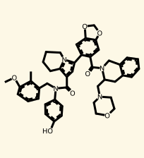 COc1cccc(CN(C(=O)c2cc(-c3cc4c(cc3C(=O)N3Cc5ccccc5CC3CN3CCOCC3)OCO4)n3c2CCCC3)c2ccc(O)cc2)c1C